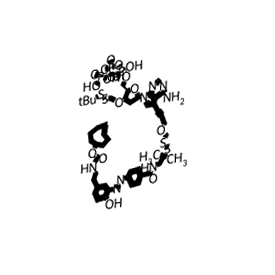 CC(C)(C)SSCOC1C[C@H](n2cc(C#CCOCSSC(C)(C)CNC(=O)c3ccc(/N=N/c4cc(CCNC(=O)OC5CC/C=C/CCC5)ccc4O)cc3)c3c(N)ncnc32)O[C@@H]1COP(=O)(O)OP(=O)(O)OP(=O)(O)O